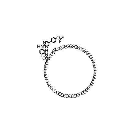 Cc1ccc(Nc2ncc(-c3ccc(OC(F)F)cc3)cn2)cc1NC(=O)N1CCCCCCCCCCCCCCCCCCCCCCCCCCCCCCCCCCCCCCCCCCCCCCCCCCCCCCCC2(CC2)N(C)CC1